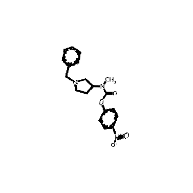 CN(C(=O)Oc1ccc([N+](=O)[O-])cc1)C1CCN(Cc2ccccc2)C1